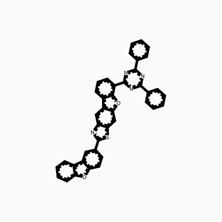 c1ccc(-c2nc(-c3ccccc3)nc(-c3cccc4c3oc3cc5sc(-c6ccc7oc8ccccc8c7c6)nc5cc34)n2)cc1